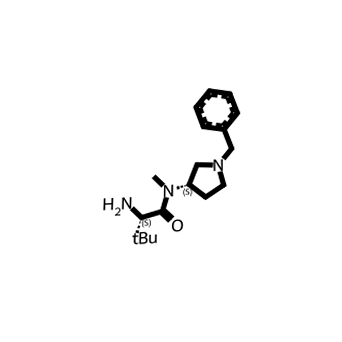 CN(C(=O)[C@@H](N)C(C)(C)C)[C@H]1CCN(Cc2ccccc2)C1